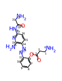 NCCC(=O)Oc1ccccc1/N=N/c1ccc(NC(=O)CN)nc1N